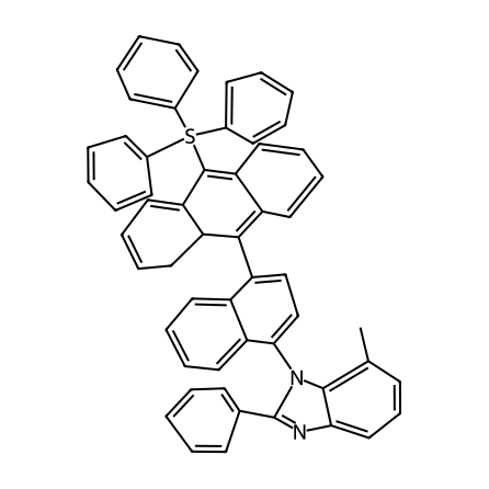 Cc1cccc2nc(-c3ccccc3)n(-c3ccc(C4=c5ccccc5=C(S(c5ccccc5)(c5ccccc5)c5ccccc5)C5=CC=CCC54)c4ccccc34)c12